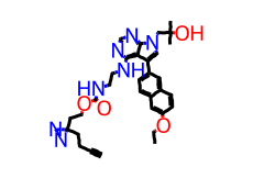 C#CCCC1(CCOC(=O)NCCNc2ncnc3c2c(-c2ccc4cc(OCC)ccc4c2)cn3CC(C)(C)O)N=N1